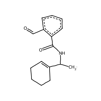 [CH2]C(NC(=O)c1ccccc1C=O)C1=CCCCC1